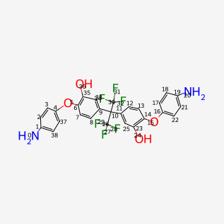 Nc1ccc(Oc2ccc(C(c3ccc(Oc4ccc(N)cc4)c(O)c3)(C(F)(F)F)C(F)(F)F)cc2O)cc1